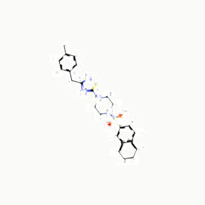 Cc1ccc(Cc2nsc(N3CCN(S(=O)(=O)c4ccc5c(c4)=CCCC=5)CC3)n2)cc1